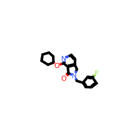 O=C1c2c(ccnc2OC2CCCCC2)CN1Cc1cccc(F)c1